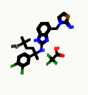 CC(C)(CCC(C)(Nc1nc2c(Cn3ccsc3=N)cccc2[nH]1)c1ccc(F)c(Cl)c1)C(=O)O.O=C(O)C(F)(F)F